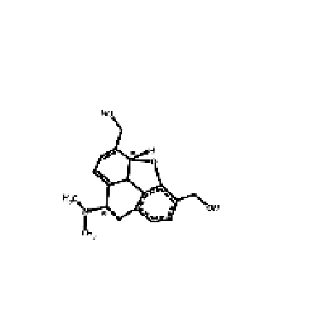 CN(C)[C@@H]1Cc2ccc(CO)c3c2C2C1=CC=C(CO)[C@@H]2O3